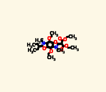 CCOC(=O)C(C(=O)OCC)=C1Oc2c(OCC)c3c(c(OCC)c2N1C)OC(=C(CC)CC)N3C